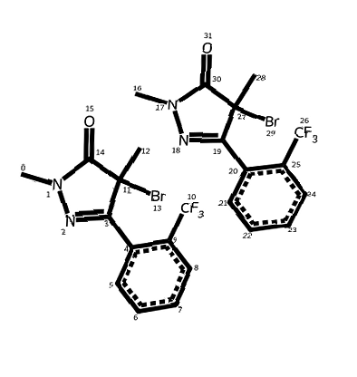 CN1N=C(c2ccccc2C(F)(F)F)C(C)(Br)C1=O.CN1N=C(c2ccccc2C(F)(F)F)C(C)(Br)C1=O